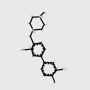 Cc1ccc(-c2ccc(CN3CCN(C)CC3)c(F)c2)cc1F